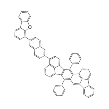 c1ccc(-c2c3cc4c5ccccc5c5cccc(c3c(-c3ccccc3)c3c6ccc(-c7ccc8cc(-c9cccc%10c9oc9ccccc9%10)ccc8c7)c7cccc(c23)c76)c54)cc1